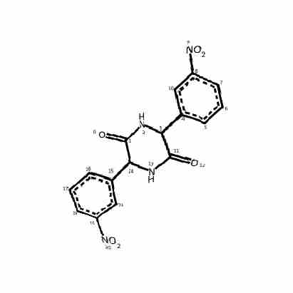 O=C1NC(c2cccc([N+](=O)[O-])c2)C(=O)NC1c1cccc([N+](=O)[O-])c1